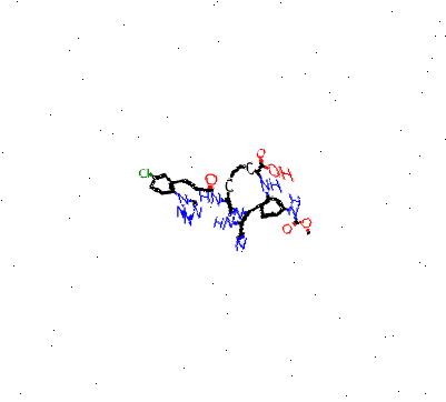 COC(=O)Nc1ccc2c(c1)NC(C(=O)O)CCCCC(NC(=O)/C=C/c1cc(Cl)ccc1-n1cnnn1)c1nc-2c(C#N)[nH]1